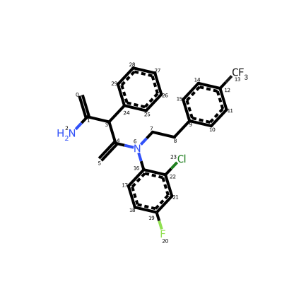 C=C(N)C(C(=C)N(CCc1ccc(C(F)(F)F)cc1)c1ccc(F)cc1Cl)c1ccccc1